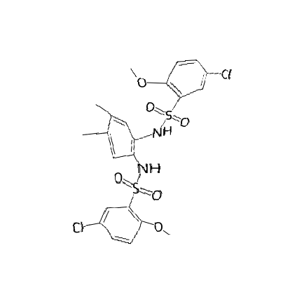 COc1ccc(Cl)cc1S(=O)(=O)Nc1cc(C)c(C)cc1NS(=O)(=O)c1cc(Cl)ccc1OC